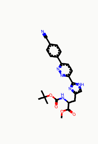 COC(=O)C(Cc1c[nH]c(-c2ccc(-c3ccc(C#N)cc3)nn2)n1)NC(=O)OC(C)(C)C